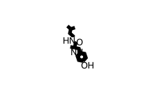 CC(C)CCNC(=O)C(C)(N)Cc1ccc(O)cc1